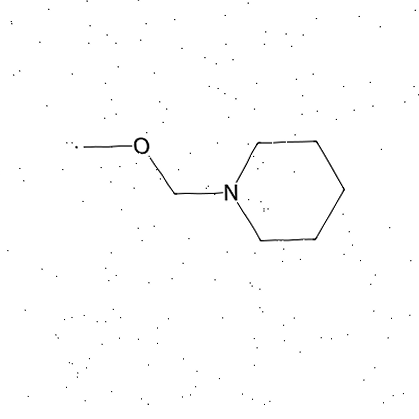 [CH2]OCN1CCCCC1